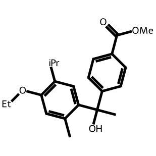 CCOc1cc(C)c(C(C)(O)c2ccc(C(=O)OC)cc2)cc1C(C)C